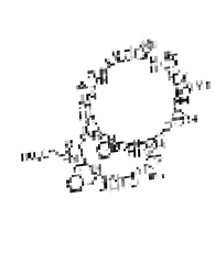 C=C1NC(=O)[C@H]([C@@H](C)CC)NC(=O)[C@@H]2CSSC[C@H](NC(=O)CCC(=O)O)C(=O)N[C@H](Cc3ccccc3)C(=O)N[C@H](C)C(=O)NC(C[C@@H](C)CC)C(=O)N[C@@H](C(=O)N[C@H](Cc3ccccc3)C(=O)N3CCC[C@H]3C(=O)N2)[C@@H](C)OC(=O)[C@H](CO)NC(=O)[C@H]([C@@H](C)OC)N(C)C(=O)[C@@H](C(C)C)NC(=O)[C@H](C[C@H](C)CC)NC1=O